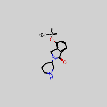 CC(C)(C)[Si](C)(C)Oc1cccc2c1CN(C1CCCNC1)C2=O